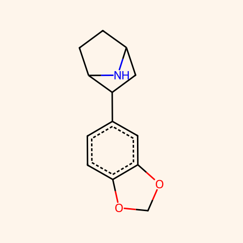 c1cc2c(cc1C1CC3CCC1N3)OCO2